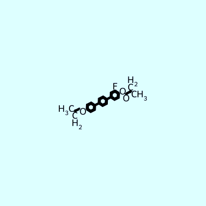 C=C(C)COc1ccc(-c2ccc(-c3ccc(OC(=O)C(=C)C)c(F)c3)cc2)cc1